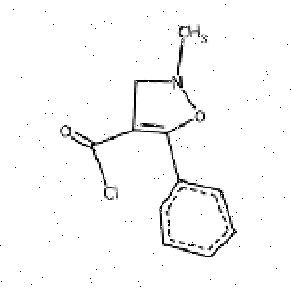 CN1CC(C(=O)Cl)=C(c2ccccc2)O1